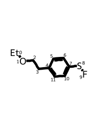 CCOCCc1ccc(SF)cc1